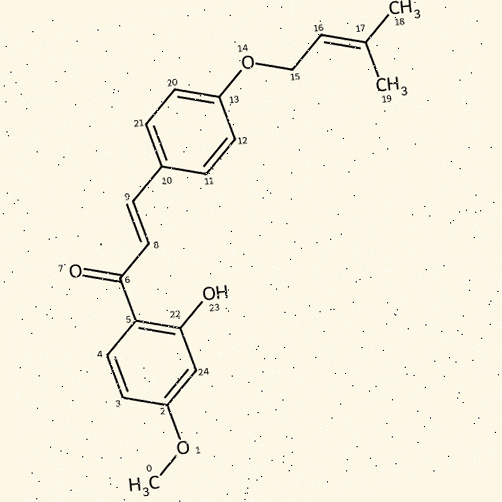 COc1ccc(C(=O)C=Cc2ccc(OCC=C(C)C)cc2)c(O)c1